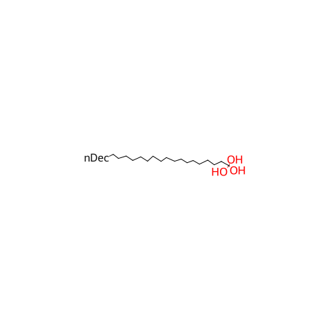 CCCCCCCCCCCCCCCCCCCCCCCCCCCC(O)(O)O